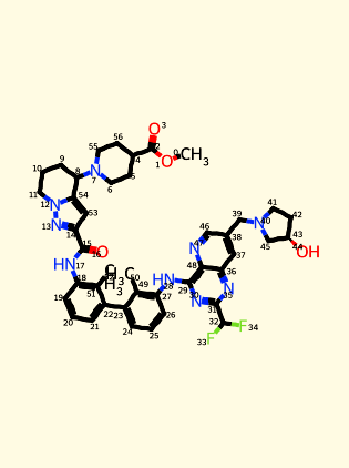 COC(=O)C1CCN(C2CCCn3nc(C(=O)Nc4cccc(-c5cccc(Nc6nc(C(F)F)nc7cc(CN8CC[C@@H](O)C8)cnc67)c5C)c4C)cc32)CC1